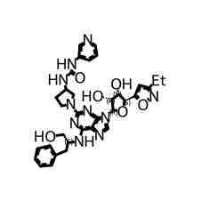 CCc1cc([C@H]2O[C@@H](n3cnc4c(N[C@H](CO)Cc5ccccc5)nc(N5CCC(NC(=O)Nc6cccnc6)C5)nc43)[C@H](O)[C@@H]2O)on1